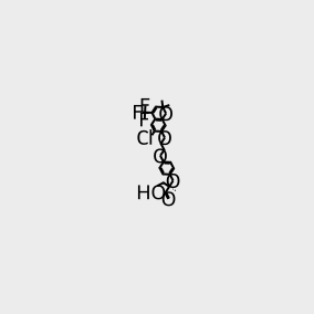 CC[C@@](C)(Oc1ccc(OCCOc2cc3c(cc2Cl)C(C(F)(F)F)=CC(C)(C)O3)cc1)C(=O)O